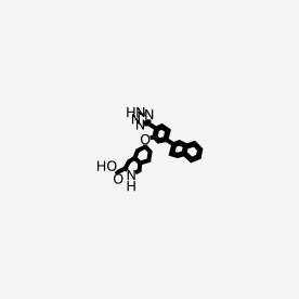 O=C(O)C1CC2CC(Oc3cc(-c4ccc5ccccc5c4)ccc3-c3nn[nH]n3)CCC2CN1